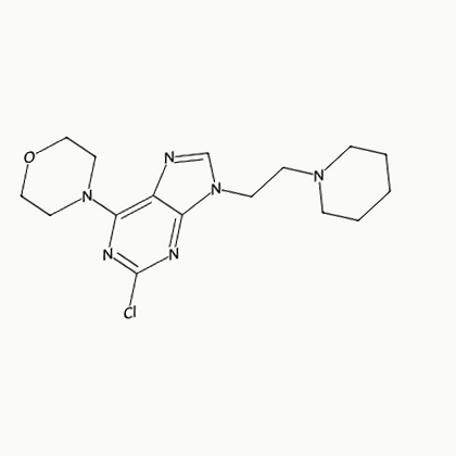 Clc1nc(N2CCOCC2)c2ncn(CCN3CCCCC3)c2n1